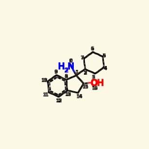 NC1(C2CCCCC2)c2ccccc2CC1O